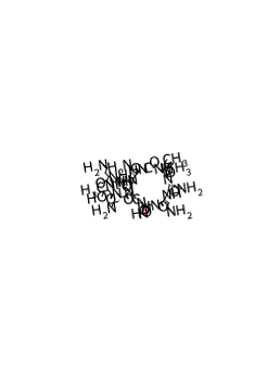 CC[C@H](C)[C@@H]1NC(=O)CNC(=O)[C@H](CCN)NC(=O)[C@@H](NC(=O)[C@H](CCN)NC(=O)[C@@H](NC(=O)[C@@H](N)CCN)[C@@H](C)O)CCNC(=O)[C@H](CO)NC(=O)[C@H](CCN)NC(=O)[C@H](CCN)NC1=O